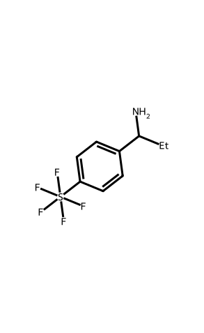 CCC(N)c1ccc(S(F)(F)(F)(F)F)cc1